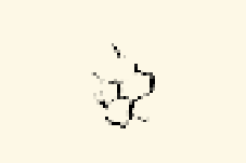 CCOC(=O)/C=C\c1c(F)ccc2nn(C)cc12